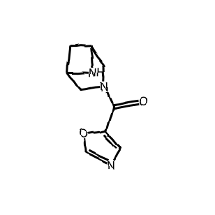 O=C(c1cnco1)N1CC2CC(C1)N2